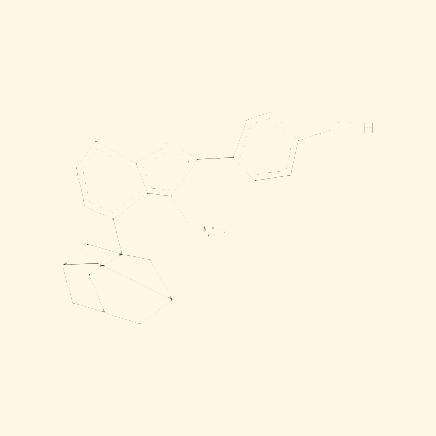 COc1c(-c2ccc(C(=O)O)cc2)oc2cccc(C34CC5CC(CC(C5)C3)C4)c12